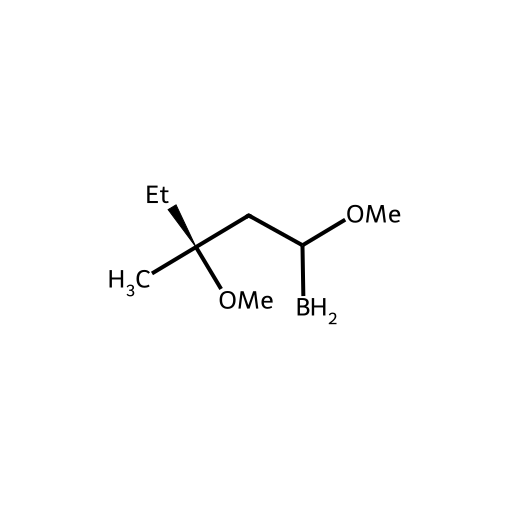 BC(C[C@](C)(CC)OC)OC